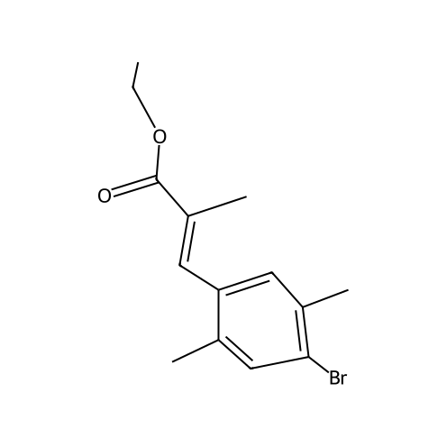 CCOC(=O)/C(C)=C/c1cc(C)c(Br)cc1C